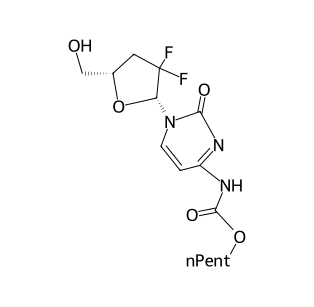 CCCCCOC(=O)Nc1ccn([C@@H]2O[C@H](CO)CC2(F)F)c(=O)n1